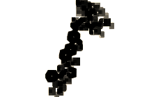 COC[C@@H](C)CN(Cc1ncc(-c2ccc3c(c2)COc2cc4c(ccc5nc([C@@H]6CCCN6C(=O)[C@H](NC(=O)OC)c6ccccc6)[nH]c54)cc2-3)[nH]1)C(=O)[C@@H](NC(=O)OC)C(C)C